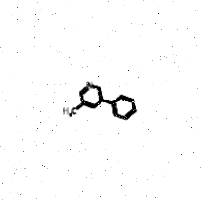 Cc1cncc(-c2cc[c]cc2)c1